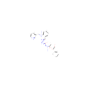 C1=CCCC(C2=COC=C(Nc3nnc(-c4ccccc4NCc4cccnc4)o3)O2)=C1